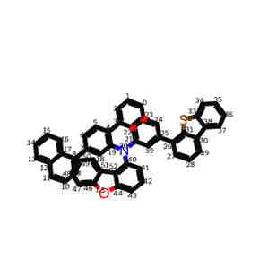 c1ccc(-c2ccc(-c3cccc4ccccc34)cc2N(c2cccc(-c3cccc4c3sc3ccccc34)c2)c2cccc3oc4ccccc4c23)cc1